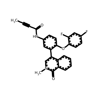 CC#CC(=O)Nc1ccc(Oc2ccc(F)cc2F)c(-c2cn(C)c(=O)c3ccccc23)c1